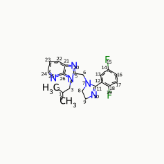 CC(C)Cn1c(CN2CCN=C2c2cc(F)ccc2F)nc2cccnc21